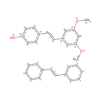 C(=C\c1ccccc1)/c1ccccc1.COc1cc(/C=C/c2ccc(O)cc2)cc(OC)c1